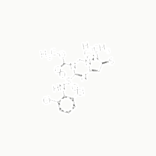 COC(=O)N1C[N+]2(C)C(=CC(=S)N2C)N=C1S(=O)(=O)Nc1c(Cl)cccc1Cl